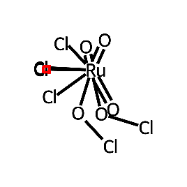 [O]=[Ru](=[O])(=[O])([Cl])([Cl])([Cl])([Cl])([O]Cl)[O]Cl